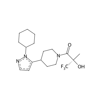 C[C@@](O)(C(=O)N1CCC(c2ccnn2C2CCCCC2)CC1)C(F)(F)F